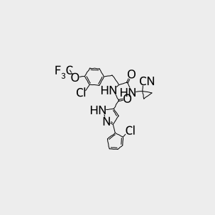 N#CC1(NC(=O)C(Cc2ccc(OC(F)(F)F)c(Cl)c2)NC(=O)c2cc(-c3ccccc3Cl)n[nH]2)CC1